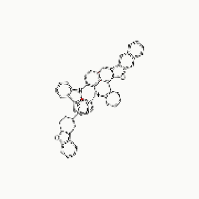 C1=C(c2ccc(N(c3ccccc3-c3cccc4c3oc3cc5ccccc5cc34)c3ccccc3-n3c4ccccc4c4ccccc43)cc2)CCc2oc3ccccc3c21